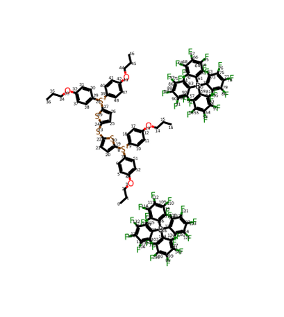 CCCOc1ccc([S+](c2ccc(OCCC)cc2)c2ccc(Sc3ccc([S+](c4ccc(OCCC)cc4)c4ccc(OCCC)cc4)s3)s2)cc1.Fc1c(F)c(F)c([B-](c2c(F)c(F)c(F)c(F)c2F)(c2c(F)c(F)c(F)c(F)c2F)c2c(F)c(F)c(F)c(F)c2F)c(F)c1F.Fc1c(F)c(F)c([B-](c2c(F)c(F)c(F)c(F)c2F)(c2c(F)c(F)c(F)c(F)c2F)c2c(F)c(F)c(F)c(F)c2F)c(F)c1F